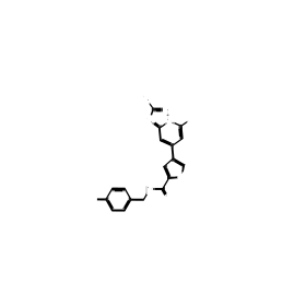 Nc1nc2cc(-c3csc(C(=O)NCc4ccc(F)cc4)c3)cc(C(=O)O)n2n1